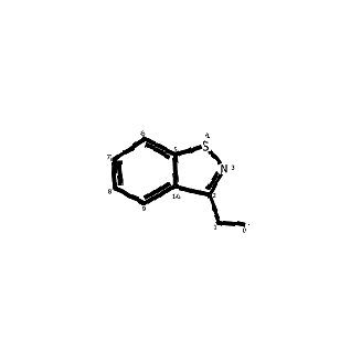 [CH2]Cc1nsc2ccccc12